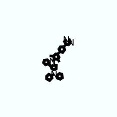 Cc1cc(-c2ccc(-c3cncnc3)cc2)cc(C)c1-n1c2ccccc2c2cc(N(c3ccccc3)c3ccccc3)ccc21